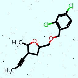 CC#CC1CC(COCc2ccc(Cl)cc2Cl)OC1C